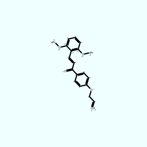 C=CCOc1ccc(C(=O)C=Cc2c(OCCC)cccc2OCCC)cc1